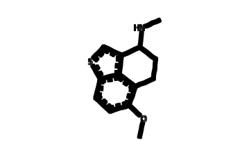 CNC1CCc2c(OC)ccc3scc1c23